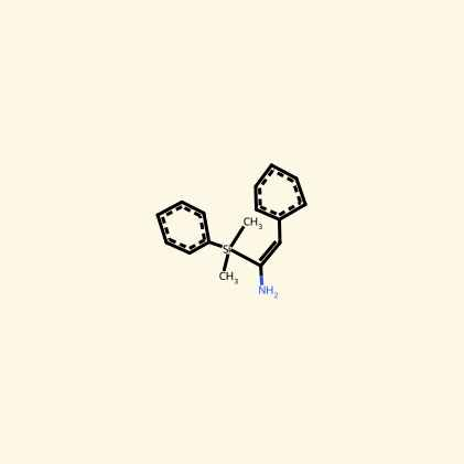 C[Si](C)(C(N)=Cc1ccccc1)c1ccccc1